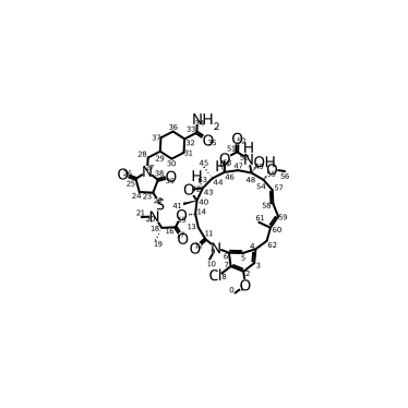 COc1cc2cc(c1Cl)N(C)C(=O)C[C@H](OC(=O)[C@H](C)N(C)SC1CC(=O)N(CC3CCC(C(N)=O)CC3)C1=O)[C@]1(C)O[C@H]1[C@H](C)[C@@H]1C[C@@](O)(NC(=O)O1)[C@H](OC)/C=C/C=C(\C)C2